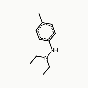 CCN(CC)Nc1ccc(C)cc1